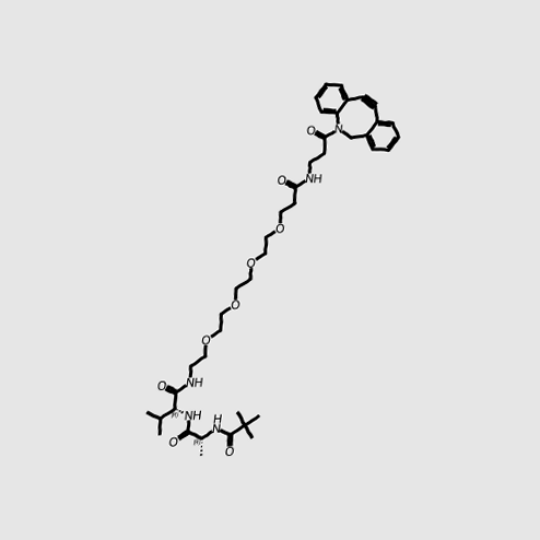 CC(C)[C@@H](NC(=O)[C@@H](C)NC(=O)C(C)(C)C)C(=O)NCCOCCOCCOCCOCCC(=O)NCCC(=O)N1Cc2ccccc2C#Cc2ccccc21